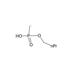 [CH2]P(=O)(O)OCCCC